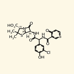 CC1(C)S[C@@H]2[C@H](NC(=O)C(NC(=O)c3csccc3=O)c3ccc(O)c(Cl)c3)C(=O)N2[C@H]1C(=O)O